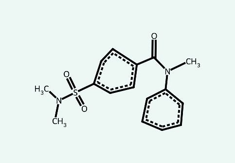 CN(C(=O)c1ccc(S(=O)(=O)N(C)C)cc1)c1ccccc1